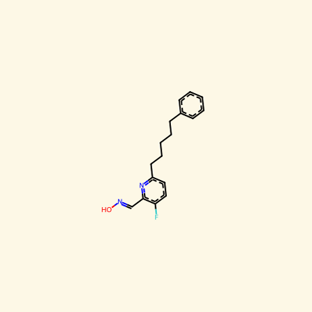 ON=Cc1nc(CCCCCc2ccccc2)ccc1F